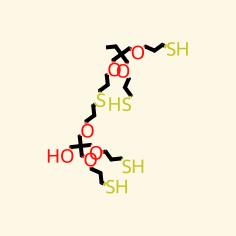 CCC(COCCCS)(COCCCS)COCCCSCCCOCC(CO)(COCCCS)COCCCS